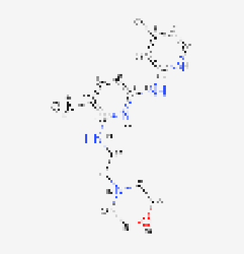 Cc1ccnc(Nc2ccc([N+](=O)[O-])c(NCCN3CCOCC3)n2)c1